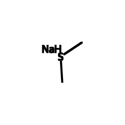 CSC.[NaH]